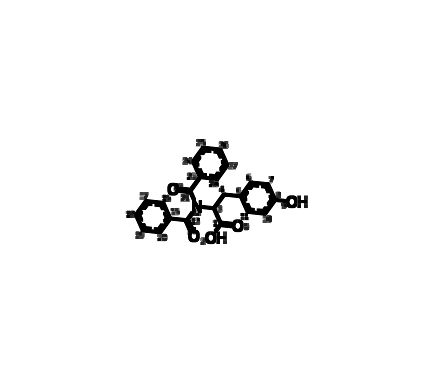 O=C(O)C(Cc1ccc(O)cc1)N(C(=O)c1ccccc1)C(=O)c1ccccc1